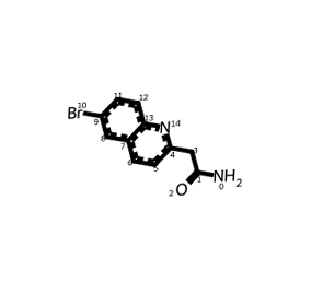 NC(=O)Cc1ccc2cc(Br)ccc2n1